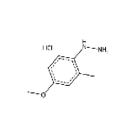 COc1ccc(NN)c(C)c1.Cl